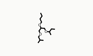 CCCCO[C](COCC(C)C)COC(C)CC